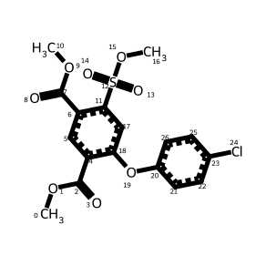 COC(=O)c1cc(C(=O)OC)c(S(=O)(=O)OC)cc1Oc1ccc(Cl)cc1